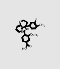 COc1cc(C(=O)O)ccc1C(=O)N[C@]1(c2ccc(C)c(F)c2)CCOc2cccnc21